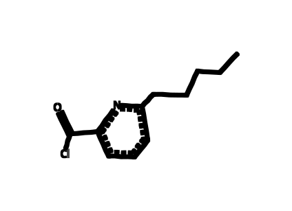 CCCCCc1cccc(C(=O)Cl)n1